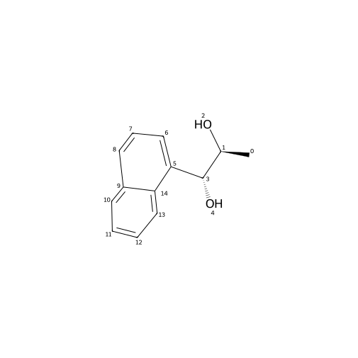 C[C@H](O)[C@H](O)c1cccc2ccccc12